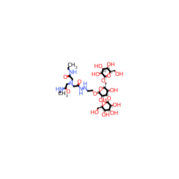 CCNC(=O)CN(CC(=O)NC)CC(=O)NNCCO[C@H]1O[C@H](CO[C@H]2O[C@H](CO)[C@@H](O)[C@H](O)[C@@H]2O)[C@@H](O)[C@H](O[C@H]2O[C@H](CO)[C@@H](O)[C@H](O)[C@@H]2O)[C@@H]1O